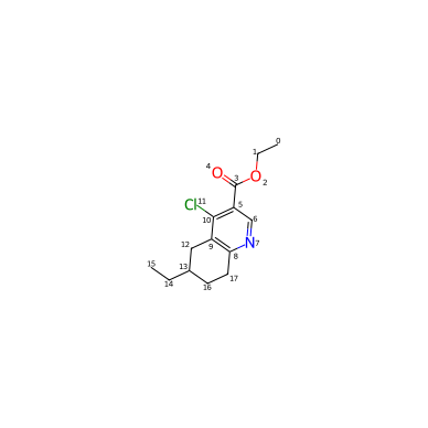 CCOC(=O)c1cnc2c(c1Cl)CC(CC)CC2